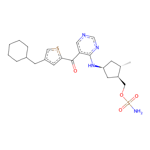 C[C@H]1C[C@H](Nc2ncncc2C(=O)c2cc(CC3CCCCC3)cs2)C[C@@H]1COS(N)(=O)=O